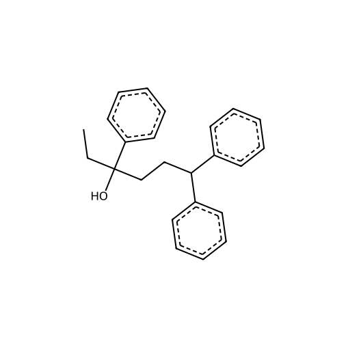 CCC(O)(CCC(c1ccccc1)c1ccccc1)c1ccccc1